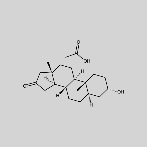 CC(=O)O.C[C@@]12CC[C@@H]3[C@H](CC[C@@H]4C[C@@H](O)CC[C@]43C)[C@H]1CC(=O)C2